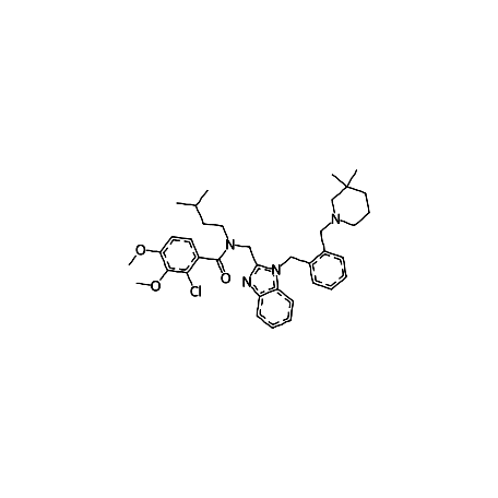 COc1ccc(C(=O)N(CCC(C)C)Cc2nc3ccccc3n2Cc2ccccc2CN2CCCC(C)(C)C2)c(Cl)c1OC